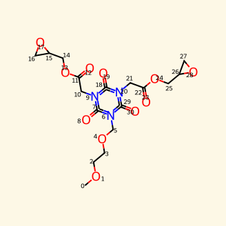 COCCOCn1c(=O)n(CC(=O)OCC2CO2)c(=O)n(CC(=O)OCC2CO2)c1=O